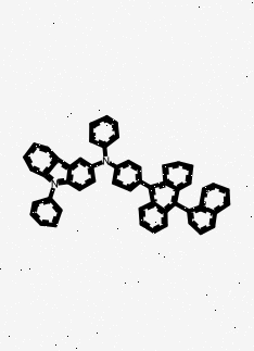 c1ccc(N(c2ccc(-c3c4ccccc4c(-c4cccc5ccccc45)c4ccccc34)cc2)c2ccc3c(c2)c2ccccc2n3-c2ccccc2)cc1